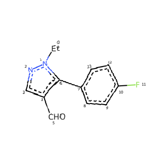 CCn1ncc(C=O)c1-c1ccc(F)cc1